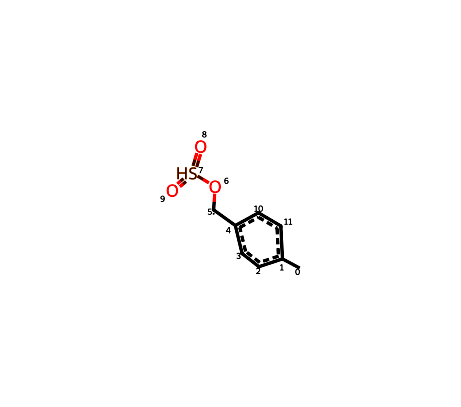 Cc1ccc([CH]O[SH](=O)=O)cc1